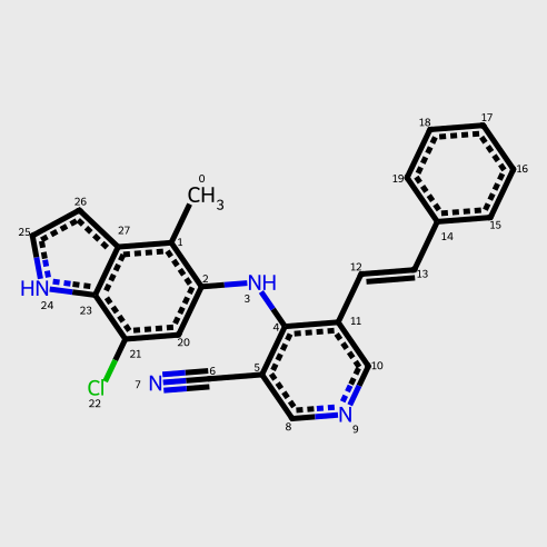 Cc1c(Nc2c(C#N)cncc2C=Cc2ccccc2)cc(Cl)c2[nH]ccc12